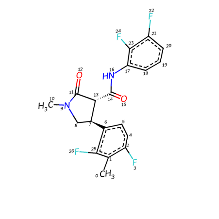 Cc1c(F)ccc([C@H]2CN(C)C(=O)[C@@H]2C(=O)Nc2cccc(F)c2F)c1F